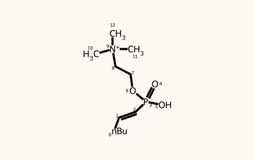 CCCCC=CP(=O)(O)OCC[N+](C)(C)C